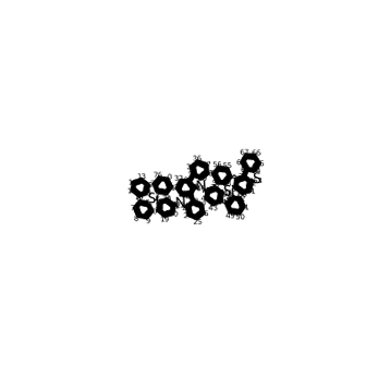 c1ccc([Si](c2ccccc2)(c2ccccc2)c2cccc(-n3c4ccccc4c4c3ccc3c5ccccc5n(-c5cccc([Si](c6ccccc6)(c6ccccc6)c6ccc7sc8ccccc8c7c6)c5)c34)c2)cc1